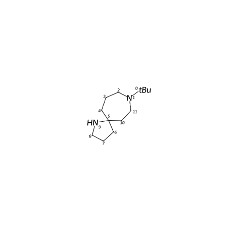 CC(C)(C)N1CCCC2(CCCN2)CC1